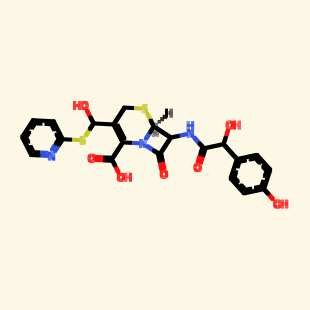 O=C(O)C1=C(C(O)Sc2ccccn2)CS[C@H]2C(NC(=O)C(O)c3ccc(O)cc3)C(=O)N12